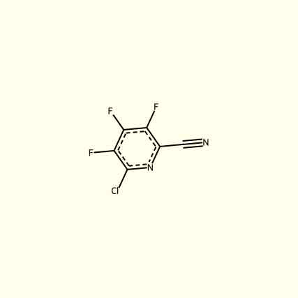 N#Cc1nc(Cl)c(F)c(F)c1F